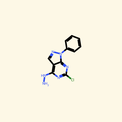 NNc1nc(Cl)nc2c1cnn2-c1ccccc1